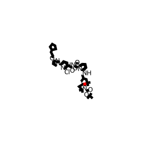 CC(C)(C)CC(CNc1cccc(S(=O)(=O)NC(=O)c2ccc(-n3ccc(OCCC4CCCC4)n3)nc2Cl)n1)C[C@@H]1CN(C(=O)OC(C)(C)C)C(C)(C)C1